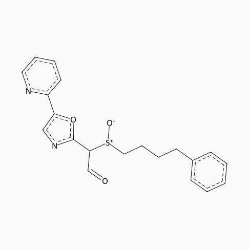 O=CC(c1ncc(-c2ccccn2)o1)[S+]([O-])CCCCc1ccccc1